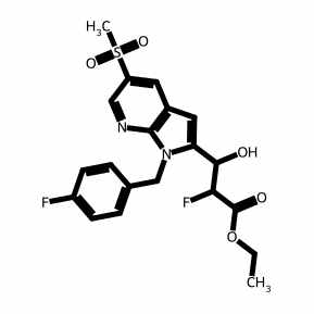 CCOC(=O)C(F)C(O)c1cc2cc(S(C)(=O)=O)cnc2n1Cc1ccc(F)cc1